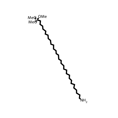 CO[Si](CCCCCCCCCCCCCCCCCCCCCCCCCCCCCCCCN)(OC)OC